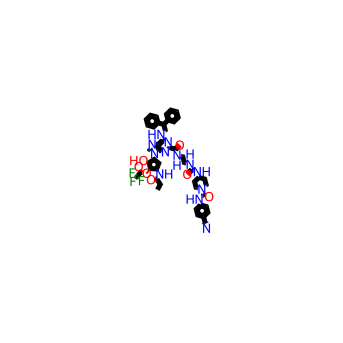 CCC(=O)N[C@H]1C[C@@H](n2cnc3c(NCC(c4ccccc4)c4ccccc4)nc(C(=O)NCCNC(=O)NC4CCN(C(=O)Nc5ccc(C#N)cc5)CC4)nc32)[C@H](O)[C@@H]1OC(=O)C(F)(F)F